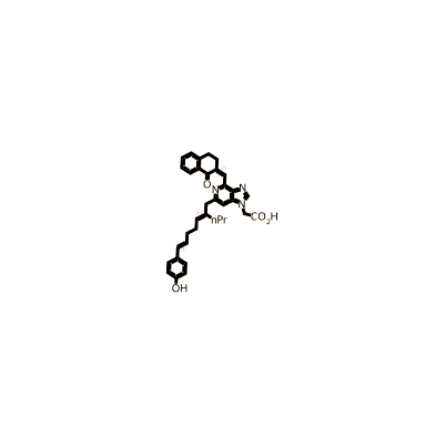 CCC/C(=C\CC/C=C/c1ccc(O)cc1)Cc1cc2c(ncn2CC(=O)O)c(/C=C2/CCc3ccccc3C2=O)n1